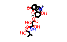 COc1ccc2c3c1O[C@H]1C(OC(=O)C(O)C(O)C(=O)NC(C(=O)O)C(C)C)=CC[C@@]4(O)C(C2)N(C)CC[C@]314